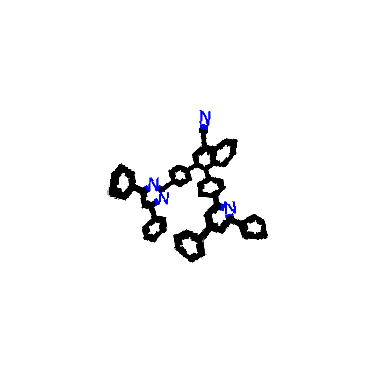 N#Cc1cc(-c2ccc(-c3nc(-c4ccccc4)cc(-c4ccccc4)n3)cc2)c(-c2ccc(-c3cc(-c4ccccc4)cc(-c4ccccc4)n3)cc2)c2ccccc12